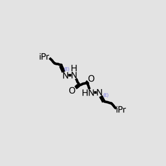 CC(C)C/C=N/NC(=O)C(=O)N/N=C/CC(C)C